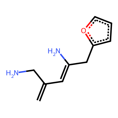 C=C(C=C(N)Cc1ccco1)CN